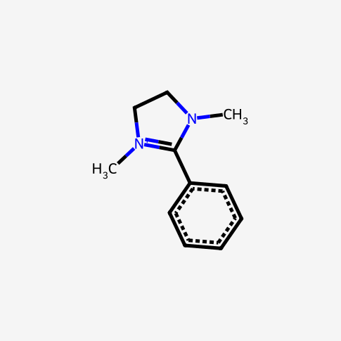 CN1CC[N+](C)=C1c1ccccc1